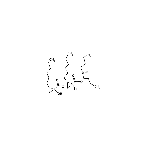 CCCCCCC1CC1(O)C(=O)[O-].CCCCCCC1CC1(O)C(=O)[O-].CCC[CH2][Sn+2][CH2]CCC